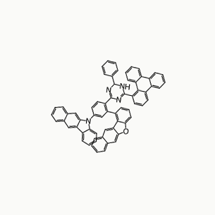 c1ccc(C2N=C(c3ccc(-n4c5ccccc5c5cc6ccccc6cc54)cc3-c3cccc4oc5cc6ccccc6cc5c34)N=C(c3cccc4c5ccccc5c5ccccc5c34)N2)cc1